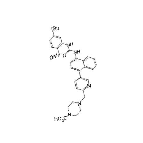 COc1ccc(C(C)(C)C)cc1NC(=O)Nc1ccc(-c2ccc(CN3CCN(C(=O)O)CC3)nc2)c2ccccc12